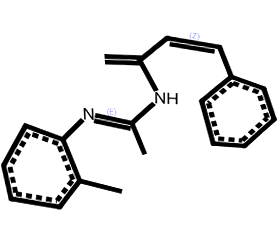 C=C(/C=C\c1ccccc1)N/C(C)=N/c1ccccc1C